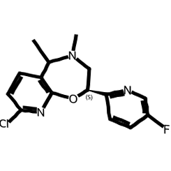 CC1c2ccc(Cl)nc2O[C@H](c2ccc(F)cn2)CN1C